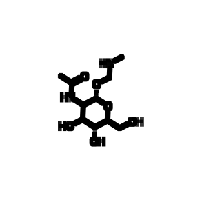 CNCO[C@@H]1OC(CO)[C@H](O)C(O)C1NC(C)=O